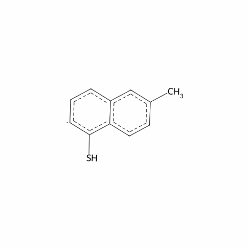 Cc1ccc2c(S)[c]ccc2c1